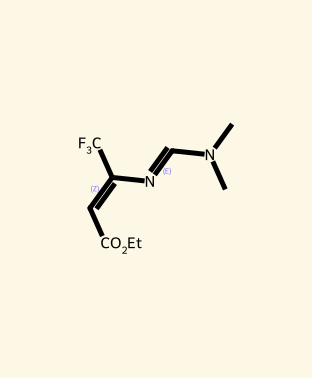 CCOC(=O)/C=C(\N=C\N(C)C)C(F)(F)F